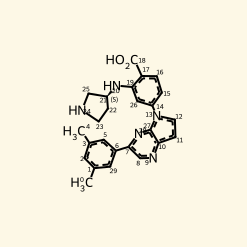 Cc1cc(C)cc(-c2cnc3ccn(-c4ccc(C(=O)O)c(N[C@H]5CCNC5)c4)c3n2)c1